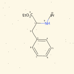 CCOC(=O)C(Cc1ccccc1)NC(C)C